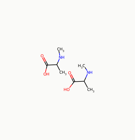 CNC(C)C(=O)O.CNC(C)C(=O)O